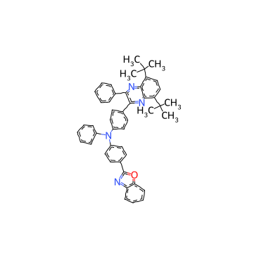 CC(C)(C)c1ccc(C(C)(C)C)c2nc(-c3ccc(N(c4ccccc4)c4ccc(-c5nc6ccccc6o5)cc4)cc3)c(-c3ccccc3)nc12